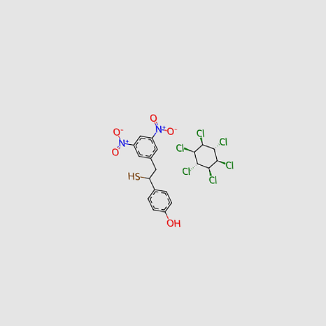 Cl[C@H]1[C@H](Cl)[C@@H](Cl)[C@@H](Cl)[C@H](Cl)[C@H]1Cl.O=[N+]([O-])c1cc(CC(S)c2ccc(O)cc2)cc([N+](=O)[O-])c1